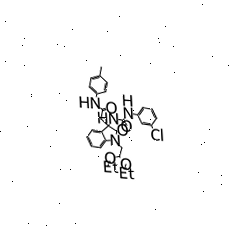 CCOC(CN1C(=O)C(CC(=O)Nc2ccc(C)cc2)(NC(=O)Nc2cccc(Cl)c2)c2ccccc21)OCC